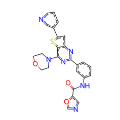 O=C(Nc1cccc(-c2nc(N3CCOCC3)c3sc(-c4cccnc4)cc3n2)c1)c1cnco1